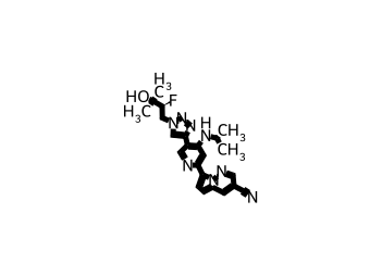 CC(C)Nc1cc(-c2ccc3cc(C#N)cnn23)ncc1-c1cn(C[C@@H](F)C(C)(C)O)nn1